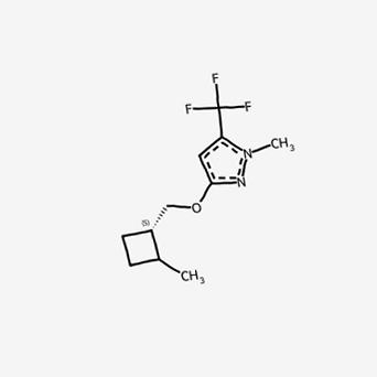 CC1CC[C@@H]1COc1cc(C(F)(F)F)n(C)n1